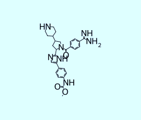 COC(=O)Nc1ccc(-c2cnc(C3CC(C4CCNCC4)CN3C(=O)c3ccc(C(=N)N)cc3)[nH]2)cc1